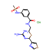 CS(=O)(=O)Nc1cccc(C(=O)NCCSC(N=C(N)N)c2cscn2)c1.Cl